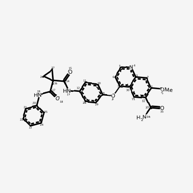 COc1cc2nccc(Oc3ccc(NC(=O)C4(C(=O)Nc5ccccc5)CC4)cc3)c2cc1C(N)=O